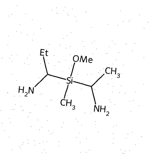 CCC(N)[Si](C)(OC)C(C)N